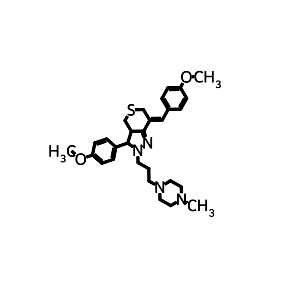 COc1ccc(C=C2CSCC3C2=NN(CCCN2CCN(C)CC2)C3c2ccc(OC)cc2)cc1